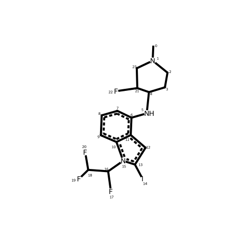 CN1CCC(Nc2cccc3c2cc(I)n3C(F)C(F)F)C(F)C1